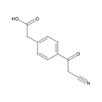 N#CCC(=O)c1ccc(CC(=O)O)cc1